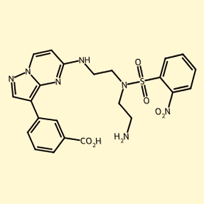 NCCN(CCNc1ccn2ncc(-c3cccc(C(=O)O)c3)c2n1)S(=O)(=O)c1ccccc1[N+](=O)[O-]